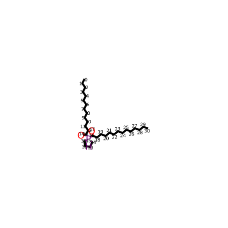 CCCCCCCCCCCCCC(=O)[PH]1(C(=O)CCCCCCCCCCCCC)C=CCC1